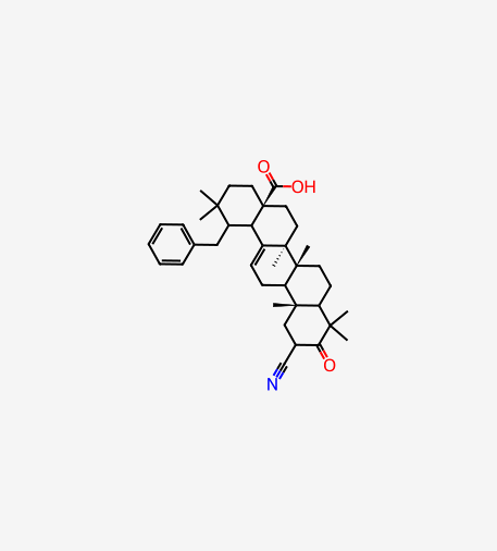 CC1(C)CC[C@]2(C(=O)O)CC[C@]3(C)C(=CCC4[C@@]5(C)CC(C#N)C(=O)C(C)(C)C5CC[C@]43C)C2C1Cc1ccccc1